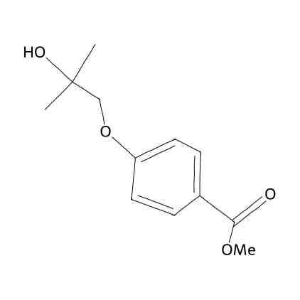 COC(=O)c1ccc(OCC(C)(C)O)cc1